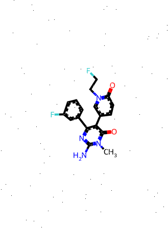 Cn1c(N)nc(-c2cccc(F)c2)c(-c2ccc(=O)n(CCF)c2)c1=O